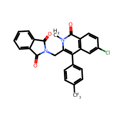 Cn1c(CN2C(=O)c3ccccc3C2=O)c(-c2ccc(C(F)(F)F)cc2)c2cc(Cl)ccc2c1=O